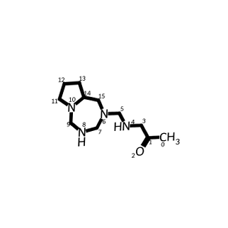 CC(=O)CNCN1CNCN2CCCC2C1